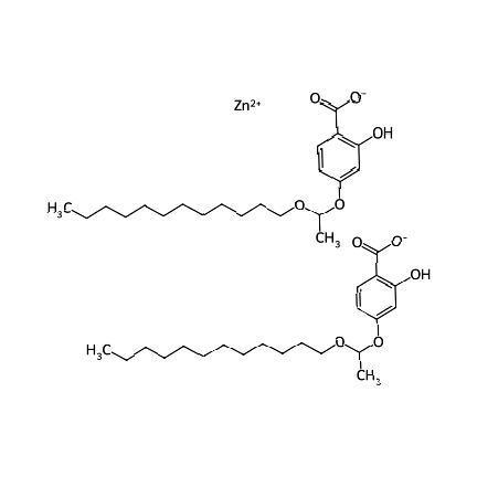 CCCCCCCCCCCCOC(C)Oc1ccc(C(=O)[O-])c(O)c1.CCCCCCCCCCCCOC(C)Oc1ccc(C(=O)[O-])c(O)c1.[Zn+2]